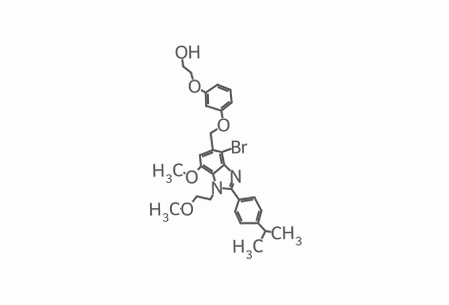 COCCn1c(-c2ccc(C(C)C)cc2)nc2c(Br)c(COc3cccc(OCCO)c3)cc(OC)c21